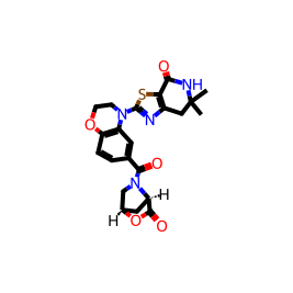 CC1(C)Cc2nc(N3CCOc4ccc(C(=O)N5C[C@H]6C[C@@H]5C(=O)O6)cc43)sc2C(=O)N1